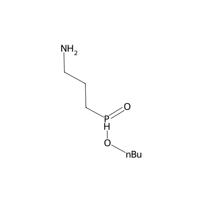 CCCCO[PH](=O)CCCN